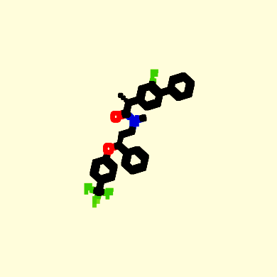 C[C@@H](C(=O)N(C)CC[C@H](Oc1ccc(C(F)(F)F)cc1)c1ccccc1)c1ccc(-c2ccccc2)c(F)c1